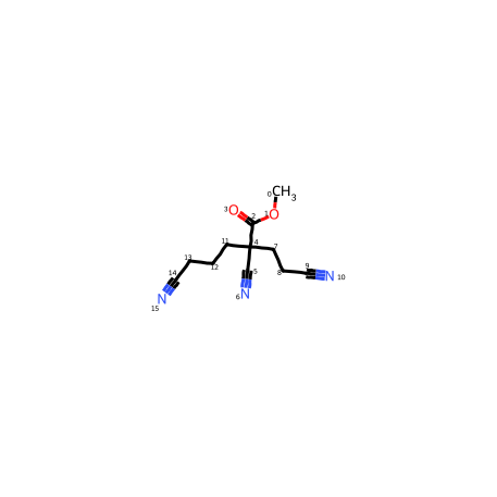 COC(=O)C(C#N)(CCC#N)CCCC#N